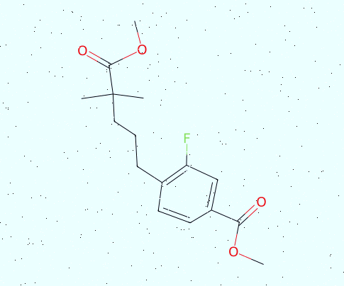 COC(=O)c1ccc(CCCC(C)(C)C(=O)OC)c(F)c1